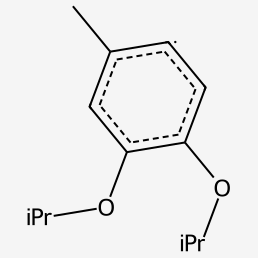 Cc1[c]cc(OC(C)C)c(OC(C)C)c1